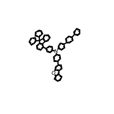 c1ccc(-c2ccc(-c3ccc(N(c4ccc(-c5ccc6c(c5)oc5ccccc56)cc4)c4ccc(-c5cccc6c5-c5ccccc5C6(c5ccccc5)c5ccccc5)cc4)cc3)cc2)cc1